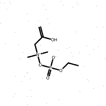 C=C(O)C[N+](C)(C)OP(=O)([O-])OCC